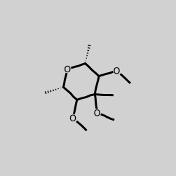 COC1[C@H](C)O[C@H](C)C(OC)C1(C)OC